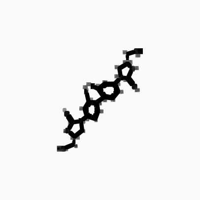 O=C1O[C@@H](CO)CN1c1ccc(-c2ccc(N3C[C@H](CO)OC3=O)cc2F)c(F)c1